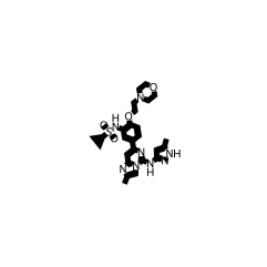 Cc1cn2c(Nc3cc(C)[nH]n3)nc(-c3ccc(OCCN4CCOCC4)c(NS(=O)(=O)C4CC4)c3)cc2n1